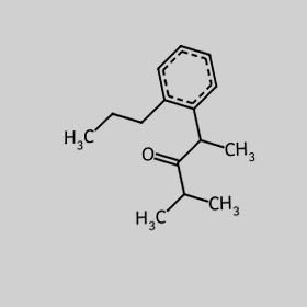 CCCc1ccccc1C(C)C(=O)C(C)C